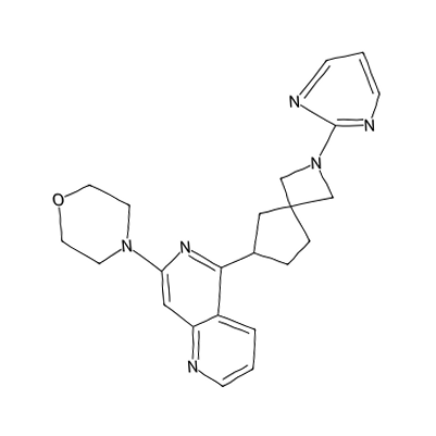 c1cnc(N2CC3(CCC(c4nc(N5CCOCC5)cc5ncccc45)C3)C2)nc1